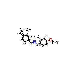 CCCOc1ccc2c(c1C)CCN(Cc1ccc(CNC(C)=O)cc1)C2